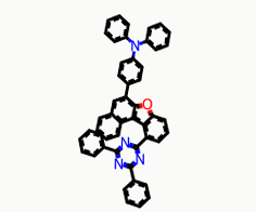 c1ccc(-c2nc(-c3ccccc3)nc(-c3cccc4oc5c(-c6ccc(N(c7ccccc7)c7ccccc7)cc6)cc6ccccc6c5c34)n2)cc1